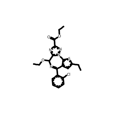 CCOC(=O)c1nc2n(n1)-c1sc(CC)cc1C(c1ccccc1Cl)=NC2OCC